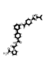 CC(C)c1noc(N2CCC(C(F)Oc3cccc(C4=CCC(C(=O)NCC(=O)N5CCC[C@H]5C(N)=O)CC4)c3)CC2)n1